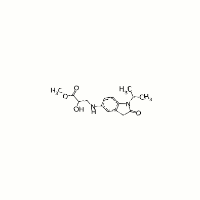 COC(=O)C(O)CNc1ccc2c(c1)CC(=O)N2C(C)C